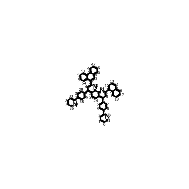 c1ccc(-c2ccc(-c3cc(-c4cccc5ccccc45)nc4c3ccc3c(-c5ccc(-c6ccccn6)cc5)cc(-c5cc6ccccc6c6ccccc56)nc34)cc2)nc1